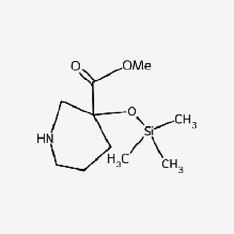 COC(=O)C1(O[Si](C)(C)C)CCCNC1